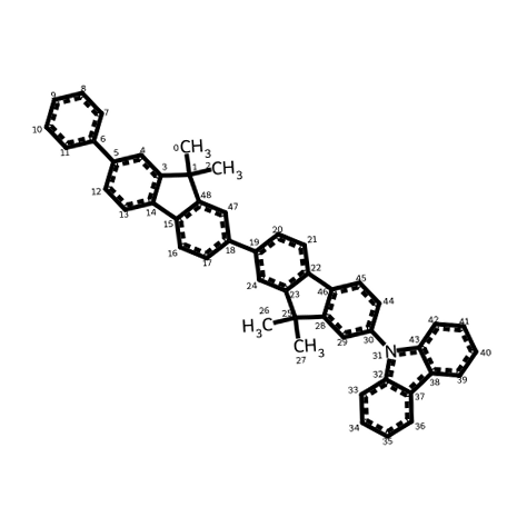 CC1(C)c2cc(-c3ccccc3)ccc2-c2ccc(-c3ccc4c(c3)C(C)(C)c3cc(-n5c6ccccc6c6ccccc65)ccc3-4)cc21